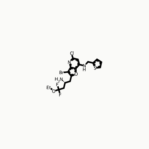 CCOC(F)(F)C[C@H](N)Cc1oc2c(NCc3cccs3)cc(Cl)nc2c1Br